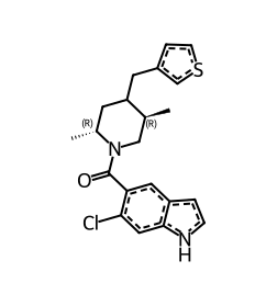 C[C@@H]1CC(Cc2ccsc2)[C@@H](C)CN1C(=O)c1cc2cc[nH]c2cc1Cl